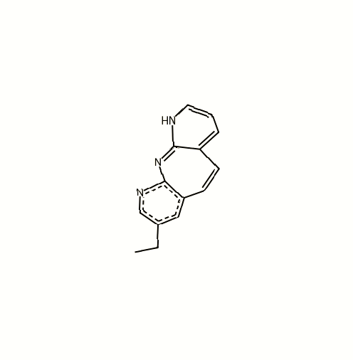 CCc1cnc2c(c1)C=CC1=CC=CNC1=N2